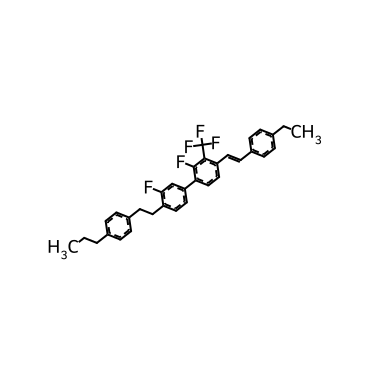 CCCc1ccc(CCc2ccc(-c3ccc(/C=C/c4ccc(CC)cc4)c(C(F)(F)F)c3F)cc2F)cc1